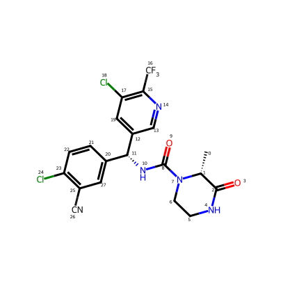 C[C@@H]1C(=O)NCCN1C(=O)N[C@@H](c1cnc(C(F)(F)F)c(Cl)c1)c1ccc(Cl)c(C#N)c1